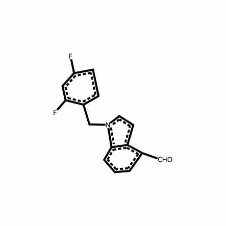 O=Cc1cccc2c1ccn2Cc1ccc(F)cc1F